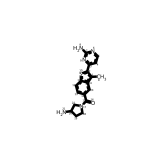 Cc1c(-c2ccnc(N)n2)sc2ccc(C(=O)N3CCC(N)C3)cc12